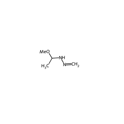 C=NNC(C)OC